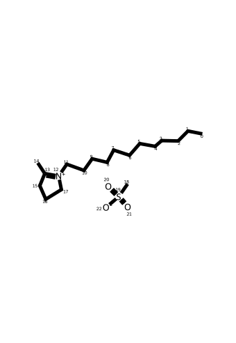 CCCCCCCCCCCC[N+]1=C(C)CCC1.CS(=O)(=O)[O-]